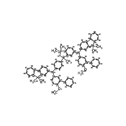 COc1ccc(N(c2ccc(C3(C)CC(C)(C)c4ccc(N(c5ccc(OC)c(-c6ccccc6)c5)c5ccc6c(c5)C(C)(C)c5ccccc5-6)cc43)cc2)c2ccc3c(c2)C(C)(C)c2ccccc2-3)cc1-c1ccccc1